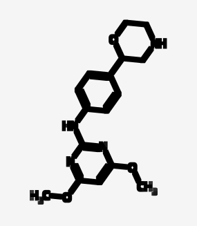 COc1cc(OC)nc(Nc2ccc(C3CNCCO3)cc2)n1